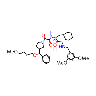 COCCCCOC(c1ccccc1)C1CCN(C(=O)C(=O)N[C@@H](CC2CCCCC2)[C@H](O)CNCc2cc(OC)cc(OC)c2)C1